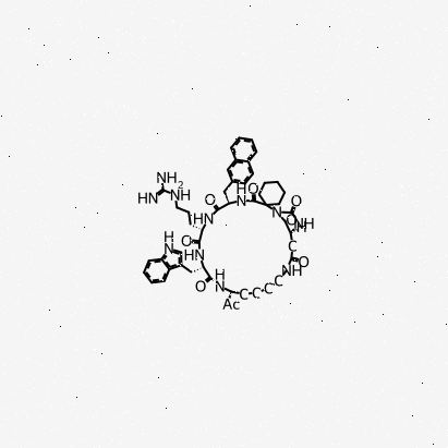 CC(=O)[C@@H]1CCCCNC(=O)C[C@@H]2NC(=O)N(C2=O)C2(CCCCC2)C(=O)N[C@H](Cc2ccc3ccccc3c2)C(=O)N[C@@H](CCCNC(=N)N)C(=O)N[C@@H](Cc2c[nH]c3ccccc23)C(=O)N1